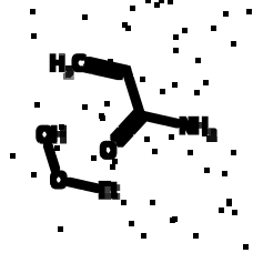 C=CC(N)=O.CCOO